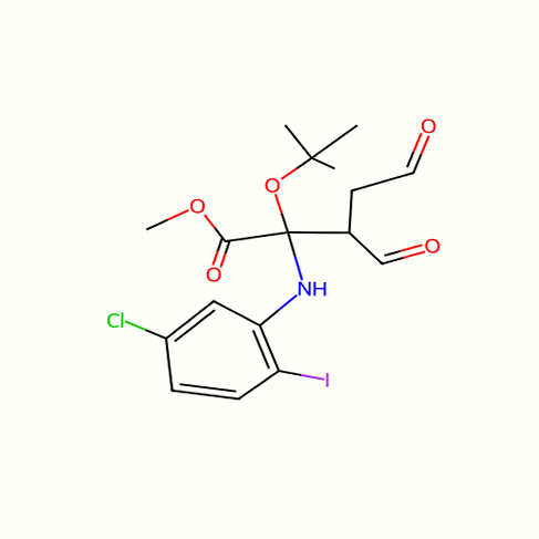 COC(=O)C(Nc1cc(Cl)ccc1I)(OC(C)(C)C)C(C=O)CC=O